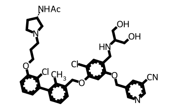 CC(=O)N[C@H]1CCN(CCCOc2cccc(-c3cccc(COc4cc(OCc5cncc(C#N)c5)c(CNC(CO)CO)cc4Cl)c3C)c2Cl)C1